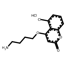 Cl.NCCCCOc1cc(=O)oc2cccc(Cl)c12